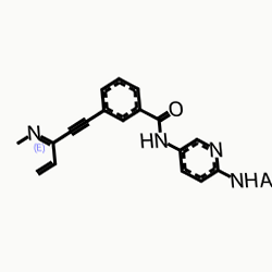 C=C/C(C#Cc1cccc(C(=O)Nc2ccc(NC(C)=O)nc2)c1)=N\C